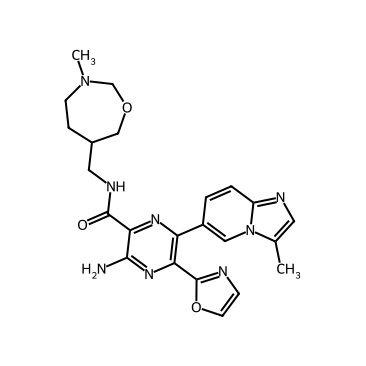 Cc1cnc2ccc(-c3nc(C(=O)NCC4CCN(C)COC4)c(N)nc3-c3ncco3)cn12